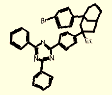 CCC1(c2ccc(-c3nc(-c4ccccc4)nc(-c4ccccc4)n3)cc2)CC2CCCC(c3ccc(Br)cc3)(C2)C1